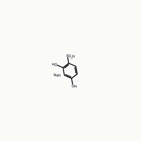 O=S(=O)(O)c1ccc(O)cc1O.[NaH]